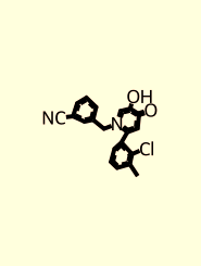 Cc1cccc(-c2cc(=O)c(O)cn2Cc2cccc(C#N)c2)c1Cl